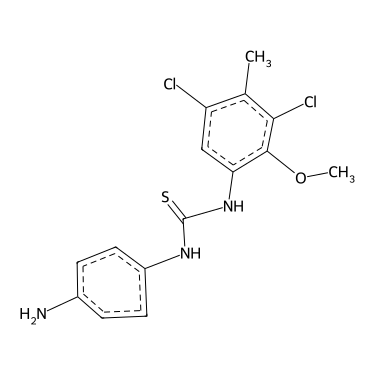 COc1c(NC(=S)Nc2ccc(N)cc2)cc(Cl)c(C)c1Cl